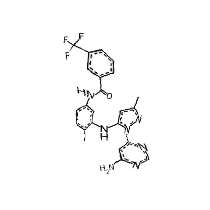 Cc1cc(Nc2cc(NC(=O)c3cccc(C(F)(F)F)c3)ccc2C)n(-c2cc(N)ncn2)n1